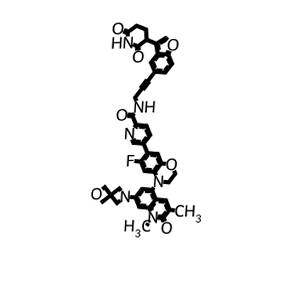 Cc1cc2c(N3CCOc4cc(-c5ccc(C(=O)NCC#Cc6ccc7occ(C8CCC(=O)NC8=O)c7c6)nc5)c(F)cc43)cc(N3CC4(COC4)C3)cc2n(C)c1=O